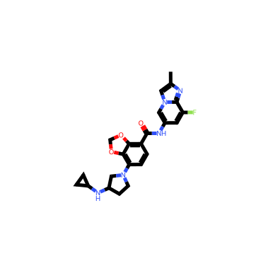 Cc1cn2cc(NC(=O)c3ccc(N4CCC(NC5CC5)C4)c4c3OCO4)cc(F)c2n1